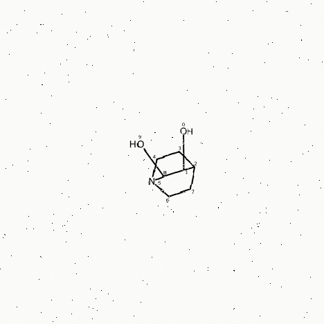 OC1C2CCN(CC2)C1O